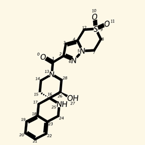 O=C(c1cc2n(n1)CCS(=O)(=O)C2)N1CC[C@]2(Cc3ccccc3CN2)[C@H](O)C1